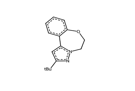 CC(C)(C)c1cc2n(n1)CCOc1ccccc1-2